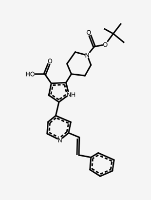 CC(C)(C)OC(=O)N1CCC(c2[nH]c(-c3ccnc(C=Cc4ccccc4)c3)cc2C(=O)O)CC1